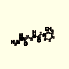 C[C@@H]1CCCCN1CC(=O)NCCC(=O)NN